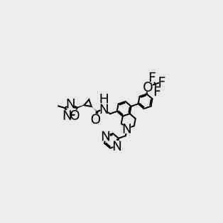 Cc1noc([C@H]2C[C@@H]2C(=O)NCc2ccc(-c3cccc(OC(F)(F)F)c3)c3c2CN(Cc2cnccn2)CC3)n1